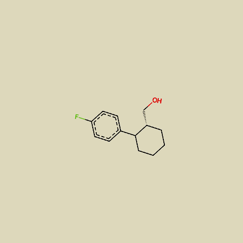 OC[C@@H]1CCCCC1c1ccc(F)cc1